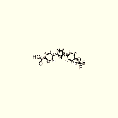 O=C(O)c1ccc(-c2ncn(-c3ccc(OC(F)(F)F)cc3)n2)cc1